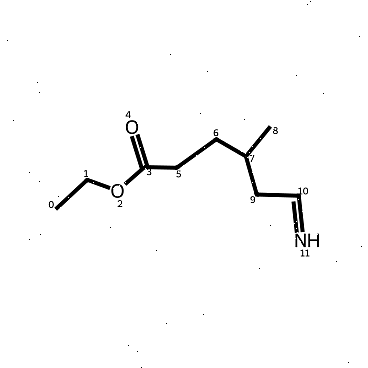 CCOC(=O)CCC(C)CC=N